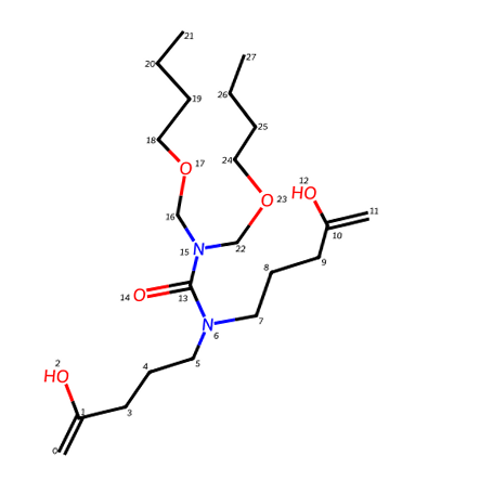 C=C(O)CCCN(CCCC(=C)O)C(=O)N(COCCCC)COCCCC